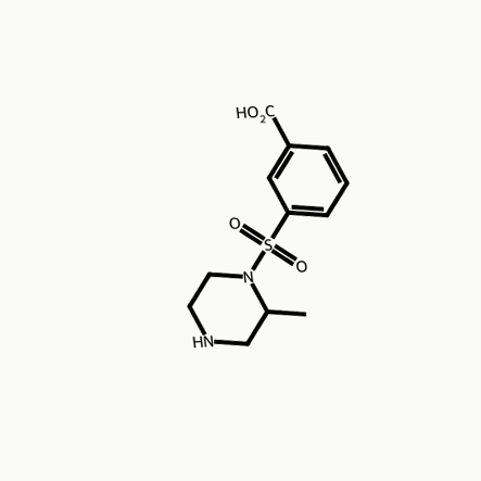 CC1CNCCN1S(=O)(=O)c1cccc(C(=O)O)c1